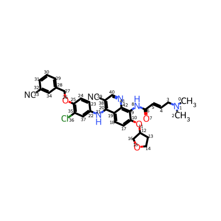 CN(C)C/C=C/C(=O)Nc1c(OC2CCOC2)ccc2c(Nc3ccc(OCc4cccc(C#N)c4)c(Cl)c3)c(C#N)cnc12